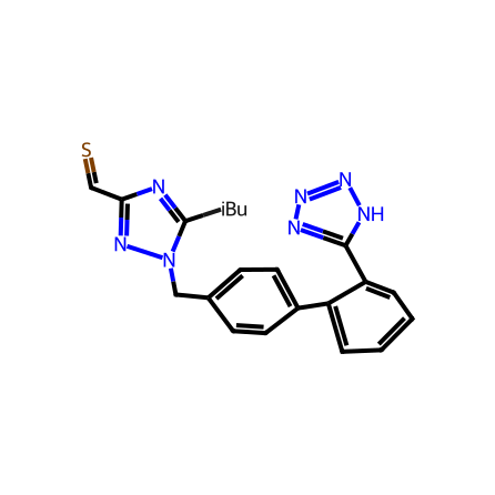 CCC(C)c1nc(C=S)nn1Cc1ccc(-c2ccccc2-c2nnn[nH]2)cc1